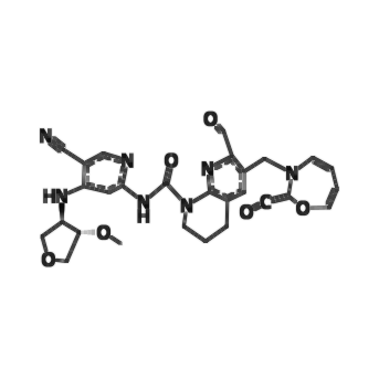 CO[C@@H]1COC[C@H]1Nc1cc(NC(=O)N2CCCc3cc(CN4C=CC=COC4=C=O)c(C=O)nc32)ncc1C#N